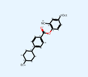 CCCCCCCCc1ccc(OC(=O)c2ccc(C3CCC(CC)CC3)cc2)c(C#N)c1